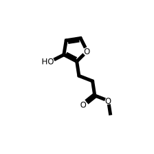 COC(=O)CCc1occc1O